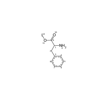 NC(Cc1ccccc1)C(=O)OI